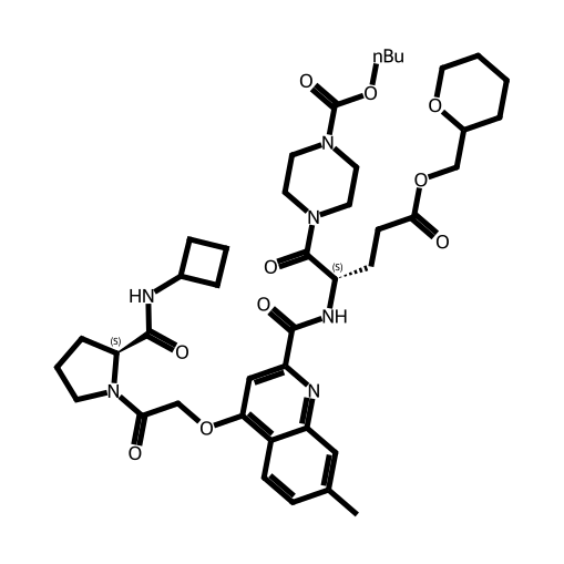 CCCCOC(=O)N1CCN(C(=O)[C@H](CCC(=O)OCC2CCCCO2)NC(=O)c2cc(OCC(=O)N3CCC[C@H]3C(=O)NC3CCC3)c3ccc(C)cc3n2)CC1